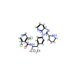 CCOC(=O)[C@H](Cc1ccc(-n2c([C@@H]3CCCCN3)nc3cccnc32)cc1)NC(=O)c1c(Cl)cncc1Cl